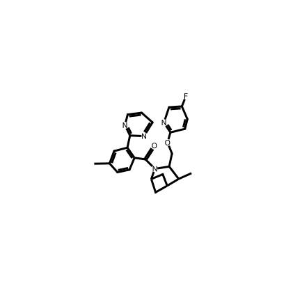 Cc1ccc(C(=O)N2C3CC(C3)C(C)C2COc2ccc(F)cn2)c(-c2ncccn2)c1